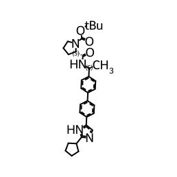 C[C@H](NC(=O)[C@@H]1CCCN1C(=O)OC(C)(C)C)c1ccc(-c2ccc(-c3cnc(C4CCCC4)[nH]3)cc2)cc1